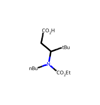 CCCCN(C(=O)OCC)C(CC(=O)O)C(C)(C)C